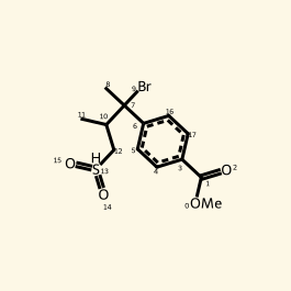 COC(=O)c1ccc(C(C)(Br)C(C)C[SH](=O)=O)cc1